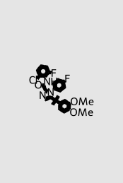 COc1ccc(C(C)(C)c2cnc(C(=O)Nc3c(F)cccc3Cl)n2-c2ccc(F)cc2)cc1OC